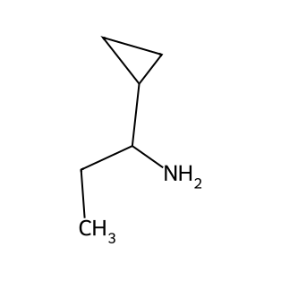 CCC(N)C1CC1